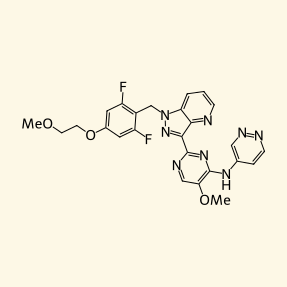 COCCOc1cc(F)c(Cn2nc(-c3ncc(OC)c(Nc4ccnnc4)n3)c3ncccc32)c(F)c1